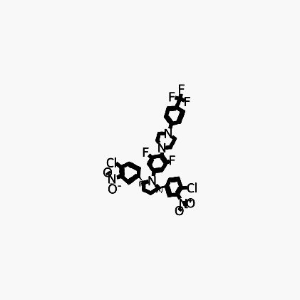 O=[N+]([O-])c1cc([C@H]2CC[C@H](c3ccc(Cl)c([N+](=O)[O-])c3)N2c2cc(F)c(N3CCN(c4ccc(C(F)(F)F)cc4)CC3)c(F)c2)ccc1Cl